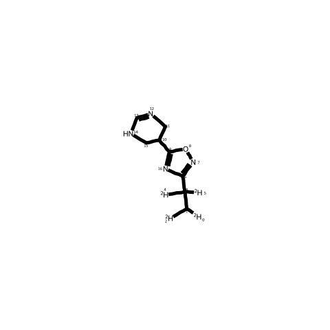 [2H]C([2H])C([2H])([2H])c1noc(C2CN=CNC2)n1